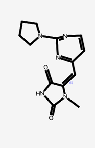 CN1C(=O)NC(=O)/C1=C\c1ccnc(N2CCCC2)n1